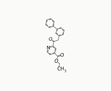 CCOC(=O)c1ccnc(C(=O)Cc2cccc(-c3ccccc3)c2)c1